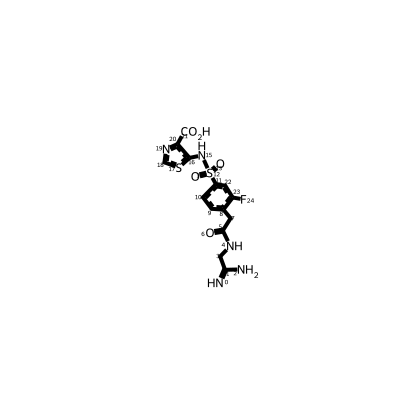 N=C(N)CNC(=O)Cc1ccc(S(=O)(=O)Nc2scnc2C(=O)O)cc1F